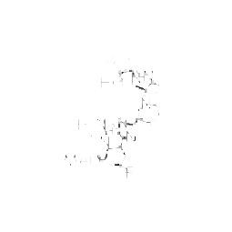 COc1cc(F)cc2c1nc(N)n1nc([C@@H]3CCCN(c4cn([C@@H](C)[C@H](C)O)nc4C)C3)nc21